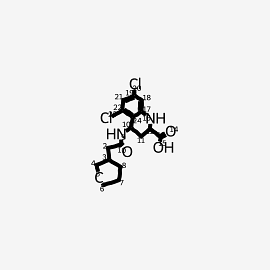 O=C(CC1CCCCC1)NC1CC(C(=O)O)Nc2cc(Cl)cc(Cl)c21